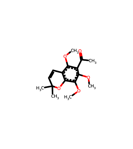 COc1c2c(c(OC)c(C(C)=O)c1OC)C=CC(C)(C)O2